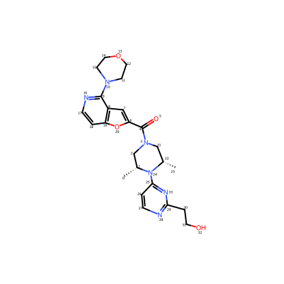 C[C@@H]1CN(C(=O)c2cc3c(N4CCOCC4)nccc3o2)C[C@H](C)N1c1ccnc(CCO)n1